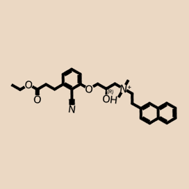 CCOC(=O)CCc1cccc(OC[C@H](O)C[N+](C)(C)CCc2ccc3ccccc3c2)c1C#N